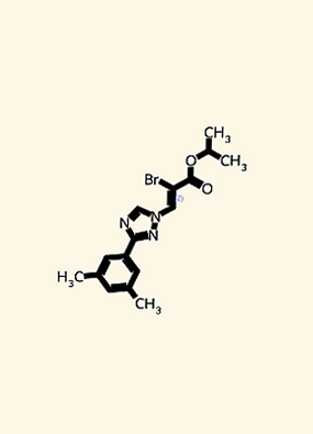 Cc1cc(C)cc(-c2ncn(/C=C(\Br)C(=O)OC(C)C)n2)c1